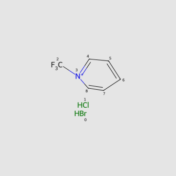 Br.Cl.FC(F)(F)[n+]1ccccc1